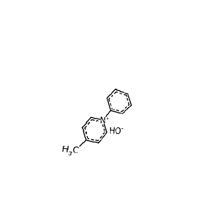 Cc1cc[n+](-c2ccccc2)cc1.[OH-]